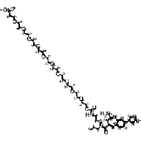 CCCN(OCCNC(=O)OCCOCCOCCOCCOCCOCCOCCOCCOCCOCCOCCC(=O)O)C(=O)C1=Cc2ccc(-c3cn[nH]c3)cc2N=C(N)C1